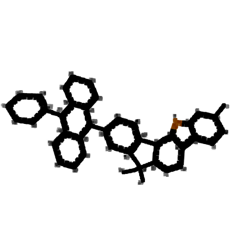 Cc1ccc2c(c1)sc1c3c(ccc12)C(C)(C)c1cc(-c2c4ccccc4c(-c4ccccc4)c4ccccc24)ccc1-3